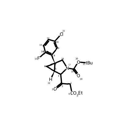 CCOC(=O)CC(=O)C1[C@@H]2C[C@]2(c2cc(Cl)ccc2F)CN1C(=O)OC(C)(C)C